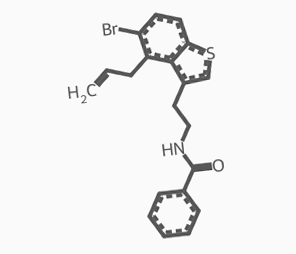 C=CCc1c(Br)ccc2scc(CCNC(=O)c3ccccc3)c12